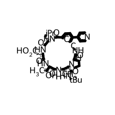 CC(C)C[C@@H]1NC(=O)c2ccc(-c3ccncc3)c(c2)CNC(=O)[C@@H]2CCCN2[C@H](C(=O)NC(C)(C)C)[C@H](C)NC(=O)[C@H]([C@@H](C)O)NC(=O)[C@H](CC(=O)O)NC1=O